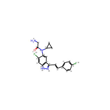 NCC(=O)N(c1cc2c(/C=C/c3ccc(F)cc3)n[nH]c2cc1F)C1CC1